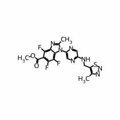 COC(=O)c1c(F)c(F)c2c(nc(C)n2-c2cnc(NCc3snnc3C)cn2)c1F